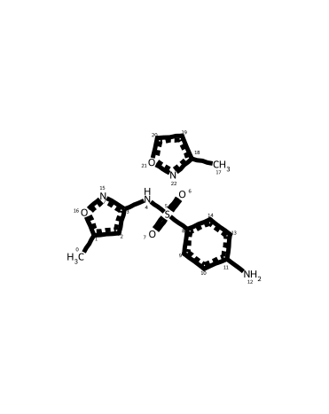 Cc1cc(NS(=O)(=O)c2ccc(N)cc2)no1.Cc1ccon1